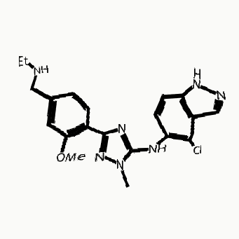 CCNCc1ccc(-c2nc(Nc3ccc4[nH]ncc4c3Cl)n(C)n2)c(OC)c1